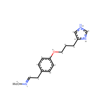 CON=CCc1ccc(OCCCc2c[nH]cn2)cc1